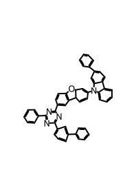 C1=CC2c3cc(-c4nc(-c5ccccc5)nc(-c5cccc(-c6ccccc6)c5)n4)ccc3OC2C=C1n1c2ccccc2c2ccc(-c3ccccc3)cc21